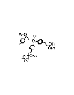 CCOC(CCc1ccc(N2C(=O)[C@H](CC[C@H](OC(C)=O)c3ccc(F)cc3)[C@H]2c2ccc(CCC3(OC(C)=O)COC(C)(C)OC3)cc2)cc1)OCC